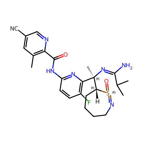 Cc1cc(C#N)cnc1C(=O)Nc1ccc(F)c([C@@]2(C)N=C(N)C(C)(C)[S@@]3(=O)=NCCCC[C@H]23)n1